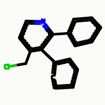 ClCc1ccnc(-c2ccccc2)c1-c1ccccc1